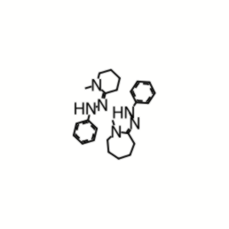 CN1CCCC/C1=N/Nc1ccccc1.CN1CCCCC/C1=N/Nc1ccccc1